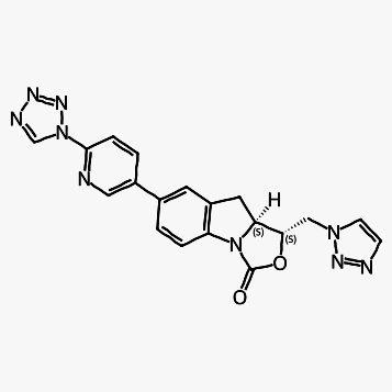 O=C1O[C@@H](Cn2ccnn2)[C@@H]2Cc3cc(-c4ccc(-n5cnnn5)nc4)ccc3N12